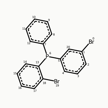 Brc1cccc(P(c2ccccc2)c2ccccc2Br)c1